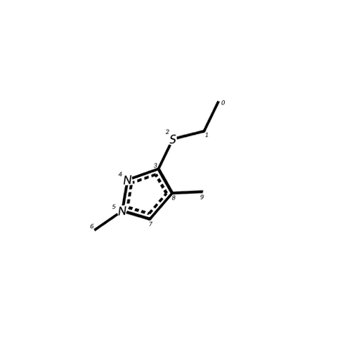 CCSc1nn(C)cc1C